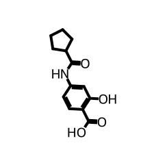 O=C(O)c1ccc(NC(=O)C2CCCC2)cc1O